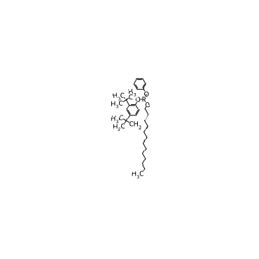 CCCCCCCCCCCCCOP(Oc1ccccc1)Oc1ccc(C(C)(C)C)cc1C(C)(C)C